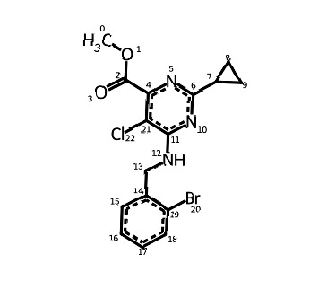 COC(=O)c1nc(C2CC2)nc(NCc2ccccc2Br)c1Cl